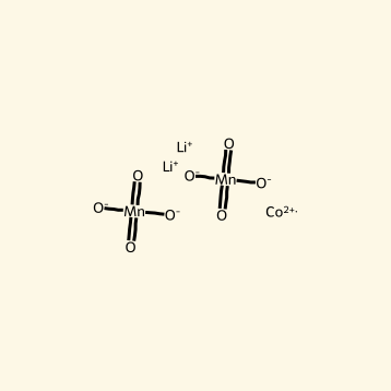 [Co+2].[Li+].[Li+].[O]=[Mn](=[O])([O-])[O-].[O]=[Mn](=[O])([O-])[O-]